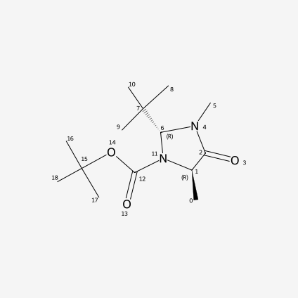 C[C@@H]1C(=O)N(C)[C@@H](C(C)(C)C)N1C(=O)OC(C)(C)C